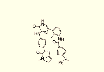 CCN(C)c1ccc(C(=O)Nc2cccc(-c3c[nH]c(=O)c(Nc4ccc(C5C/C(C)=C/CCN(C)C5=O)cc4)n3)c2C)cc1